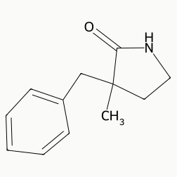 CC1(Cc2ccccc2)CCNC1=O